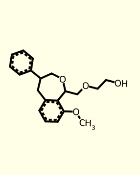 COc1cccc2c1C(COCCO)OCC(c1ccccc1)C2